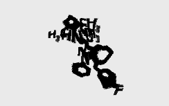 CC12CCC(C1)C(C)(C)[C@H]2NC(=O)c1nn(C2CCCCC2)c2c1CCCCC2Cc1ccc(F)cc1